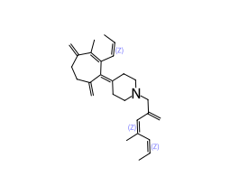 C=C(/C=C(C)\C=C/C)CN1CCC(=C2C(=C)CCC(=C)C(C)=C2/C=C\C)CC1